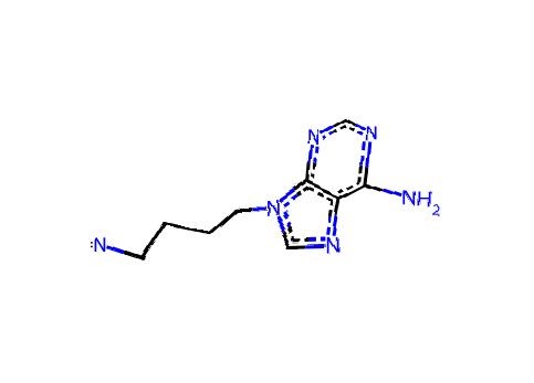 [N]CCCCn1cnc2c(N)ncnc21